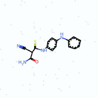 N#CC(C(N)=O)C(=S)Nc1ccc(Nc2ccccc2)cc1